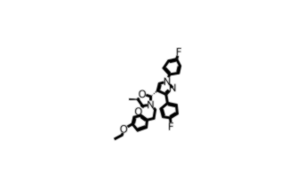 CCOc1ccc(CCN2C(=O)[C@@H](C)O[C@@H]2c2cn(-c3ccc(F)cc3)nc2-c2ccc(F)cc2)cc1